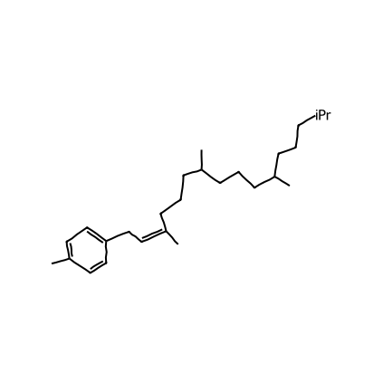 CC(=CCc1ccc(C)cc1)CCCC(C)CCCC(C)CCCC(C)C